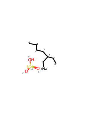 CCCCC(CC)[CH2][Na].O=[SH](=O)O